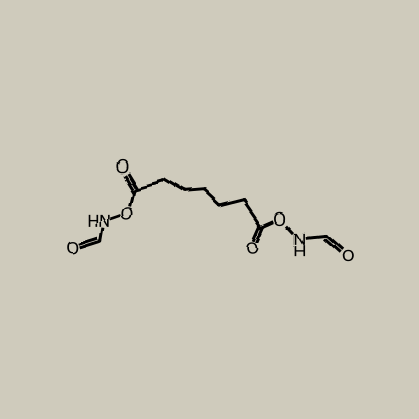 O=CNOC(=O)CCCCCC(=O)ONC=O